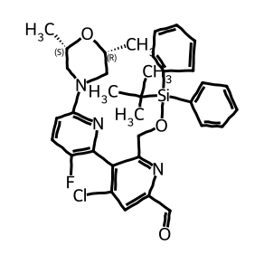 C[C@@H]1CN(c2ccc(F)c(-c3c(Cl)cc(C=O)nc3CO[Si](c3ccccc3)(c3ccccc3)C(C)(C)C)n2)C[C@H](C)O1